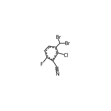 N#Cc1c(F)ccc(C(Br)Br)c1Cl